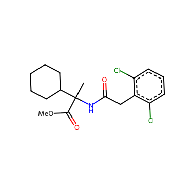 COC(=O)C(C)(NC(=O)Cc1c(Cl)cccc1Cl)C1CCCCC1